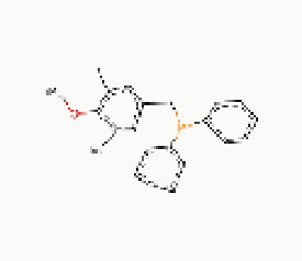 CCCOc1c(C)cc(CP(c2ccccc2)c2ccccc2)cc1CC